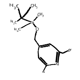 CC(C)(C)[Si](C)(C)OCc1cc(Br)nc(Br)c1